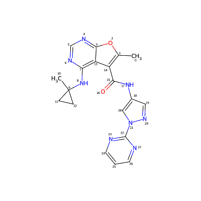 Cc1oc2ncnc(NC3(C)CC3)c2c1C(=O)Nc1cnn(-c2ncccn2)c1